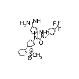 CS(=O)(=O)c1ccccc1-c1ccc(NC(=O)N(Cc2ccc(C(F)(F)F)cc2)Nc2cccc(C(=N)N)c2)cc1